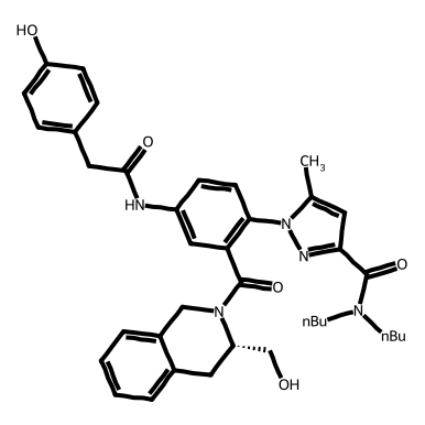 CCCCN(CCCC)C(=O)c1cc(C)n(-c2ccc(NC(=O)Cc3ccc(O)cc3)cc2C(=O)N2Cc3ccccc3C[C@H]2CO)n1